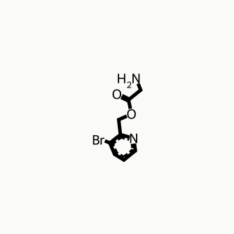 NCC(=O)OCc1ncccc1Br